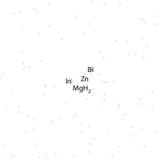 [Bi].[In].[MgH2].[Zn]